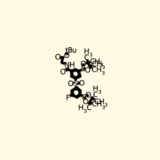 CC(C)(C)OC(=O)CNC(=O)c1cc(B2OC(C)(C)C(C)(C)O2)cc(S(=O)(=O)c2cc(F)cc(B3OC(C)(C)C(C)(C)O3)c2)c1